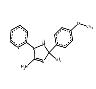 COc1ccc(C2(N)N=C(N)N(c3ccccn3)N2)cc1